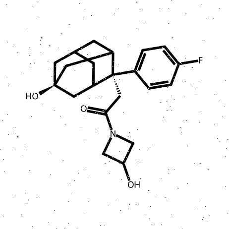 O=C(C[C@]1(c2ccc(F)cc2)C2CC3CC1C[C@@](O)(C3)C2)N1CC(O)C1